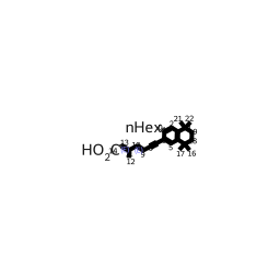 CCCCCCc1cc2c(cc1C#C/C=C/C(C)=C/C(=O)O)C(C)(C)CCC2(C)C